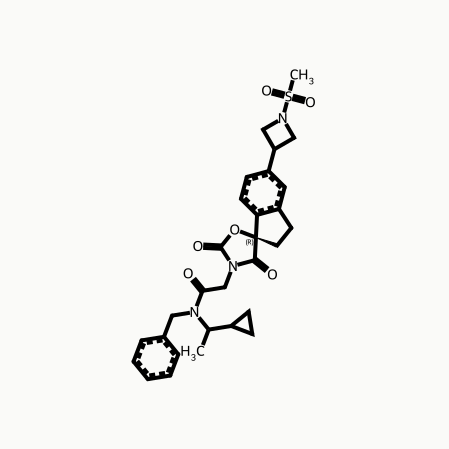 CC(C1CC1)N(Cc1ccccc1)C(=O)CN1C(=O)O[C@@]2(CCc3cc(C4CN(S(C)(=O)=O)C4)ccc32)C1=O